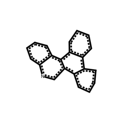 c1ccc2c(c1)ncc1c3ccccc3c3ccccc3c21